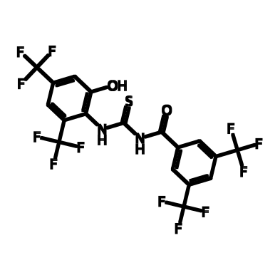 O=C(NC(=S)Nc1c(O)cc(C(F)(F)F)cc1C(F)(F)F)c1cc(C(F)(F)F)cc(C(F)(F)F)c1